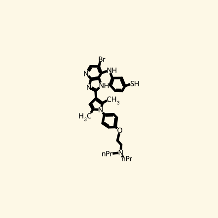 CCCN(CCC)CCOc1ccc(-n2c(C)cc(-c3nc4ncc(Br)c(Nc5cccc(S)c5)c4[nH]3)c2C)cc1